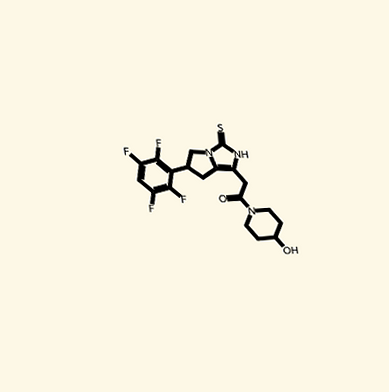 O=C(Cc1[nH]c(=S)n2c1CC(c1c(F)c(F)cc(F)c1F)C2)N1CCC(O)CC1